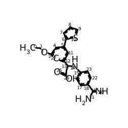 CCOc1cc(-c2cccs2)cc(C(Nc2ccc(C(=N)N)cc2)C(=O)O)c1